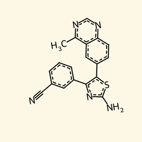 Cc1ncnc2ccc(-c3sc(N)nc3-c3cccc(C#N)c3)cc12